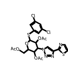 CC(=O)OCC1OC(Sc2cc(Cl)cc(Cl)c2)C(OC(C)=O)C(n2cc(-c3nccs3)nn2)C1OC(C)=O